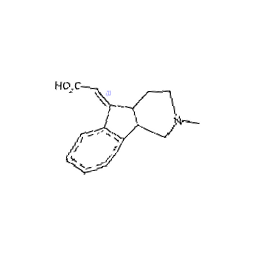 CN1CCC2/C(=C/C(=O)O)c3ccccc3C2C1